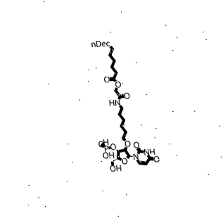 CCCCCCCCCCCCCCCC(=O)OCC(=O)NCCCCCCOC1[C@@H](O[PH](=O)O)[C@@H](CO)O[C@H]1n1ccc(=O)[nH]c1=O